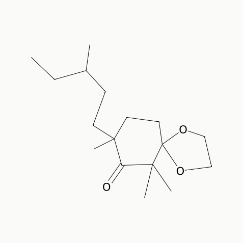 CCC(C)CCC1(C)CCC2(OCCO2)C(C)(C)C1=O